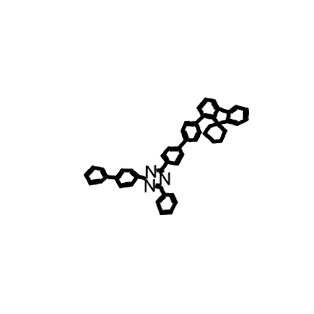 c1ccc(-c2ccc(-c3nc(-c4ccccc4)nc(-c4ccc(-c5ccc(-c6cccc7c6C6(CCCCC6)c6ccccc6-7)cc5)cc4)n3)cc2)cc1